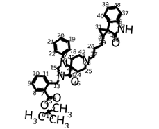 CC(C)(C)OC(=O)c1ccccc1CN1CN(c2ccccc2)C2(CCN(CCCC3CC34C(=O)Nc3ccccc34)CC2)C1=O